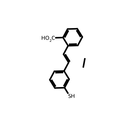 CC.O=C(O)c1ccccc1C=Cc1cccc(S)c1